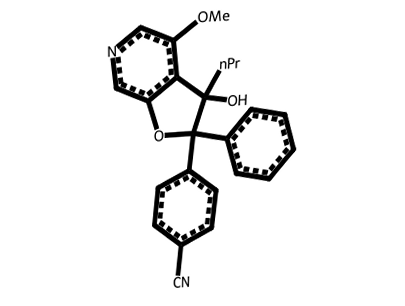 CCCC1(O)c2c(OC)cncc2OC1(c1ccccc1)c1ccc(C#N)cc1